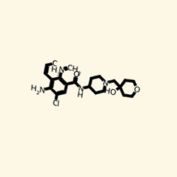 C=Nc1c(C(=O)NC2CCN(CC3(O)CCOCC3)CC2)cc(Cl)c(N)c1/C=C\C